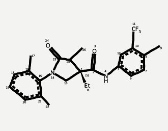 CC[C@@]1(C(=O)Nc2ccc(C)c(C(F)(F)F)c2)CN(c2c(C)cccc2C)C(=O)C1C